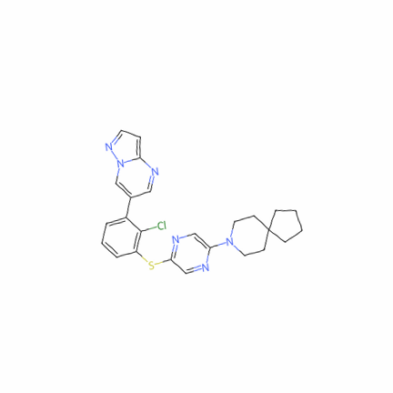 Clc1c(Sc2cnc(N3CCC4(CCCC4)CC3)cn2)cccc1-c1cnc2ccnn2c1